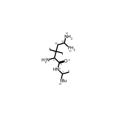 CC(NC(=O)C(N)C(C)(C)CC(N)P)C(C)(C)C